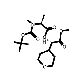 COC(=O)[C@@H](NC(=O)[C@H](C)N(C)C(=O)OC(C)(C)C)C1CCOCC1